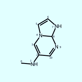 CNC1=CN2C=CNC2N=C1